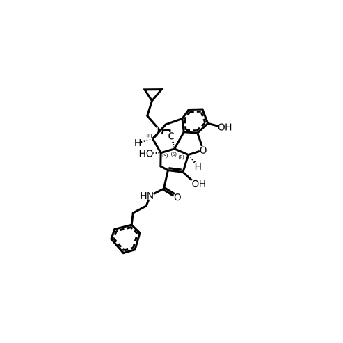 O=C(NCCc1ccccc1)C1=C(O)[C@@H]2Oc3c(O)ccc4c3[C@@]23CCN(CC2CC2)[C@H](C4)[C@]3(O)C1